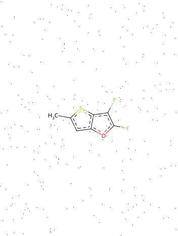 Cc1cc2oc(F)c(F)c2s1